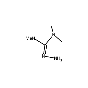 CNC(=NN)N(C)C